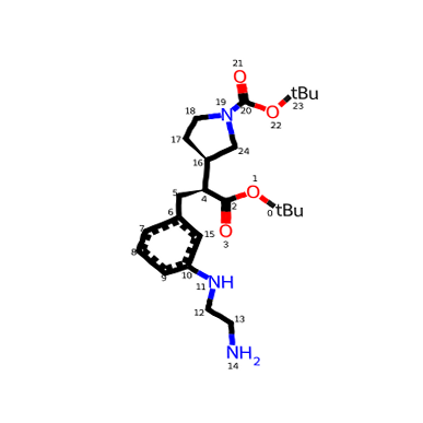 CC(C)(C)OC(=O)[C@@H](Cc1cccc(NCCN)c1)[C@H]1CCN(C(=O)OC(C)(C)C)C1